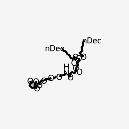 CCCCCCCCCCCCCCCC(=O)OCC(COC(=O)CCC(=O)NCCOCCOCCOCC(=O)ON1C(=O)CCC1=O)OC(=O)CCCCCCCCCCCCCCC